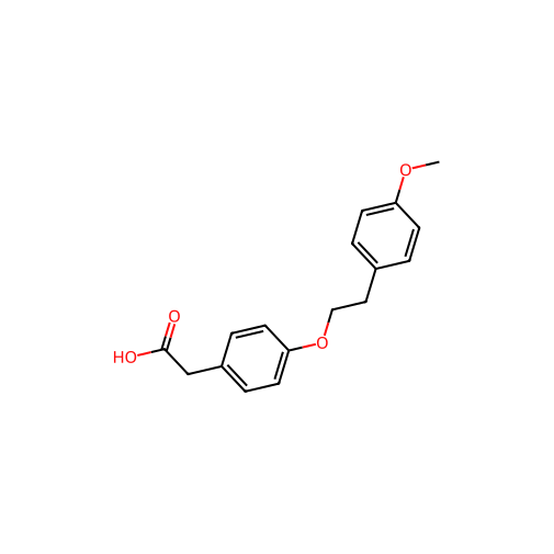 COc1ccc(CCOc2ccc(CC(=O)O)cc2)cc1